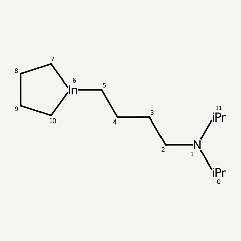 CC(C)N(CCC[CH2][In]1[CH2]CC[CH2]1)C(C)C